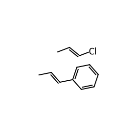 CC=CCl.CC=Cc1ccccc1